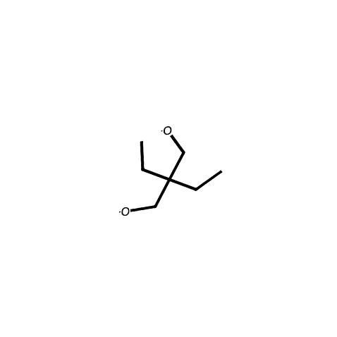 CCC(CC)(C[O])C[O]